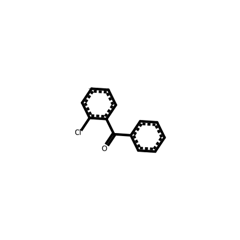 O=C(c1ccccc1)c1cc[c]cc1Cl